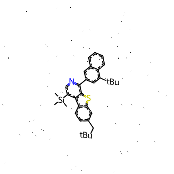 CC(C)(C)Cc1ccc2c(c1)sc1c(-c3cc(C(C)(C)C)c4ccccc4c3)ncc([Si](C)(C)C)c12